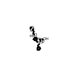 O=C(O)C[C@H]1Nc2cc(NC(=O)CCc3cnccn3)ccc2CN(CCc2ccccc2)C1=O